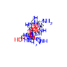 CCCC[C@H](NC(=O)[C@H](CC(C)C)N(C)C(=O)[C@H](Cc1ccccc1)NC(=O)[C@H](Cc1ccc(O)cc1)N(C(C)=O)C(=O)[C@@H]1CCCCN1)C(=O)N[C@@H](CCCN)C(=O)N1CCC[C@H]1C(=O)N[C@@H](CCCNC(=N)N)C(=O)NCC(N)=O